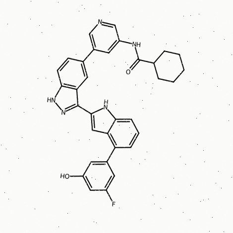 O=C(Nc1cncc(-c2ccc3[nH]nc(-c4cc5c(-c6cc(O)cc(F)c6)cccc5[nH]4)c3c2)c1)C1CCCCC1